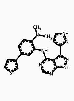 CN(C)c1ccc(-c2ccsc2)cc1Nc1ncnc2[nH]nc(-c3cc[nH]n3)c12